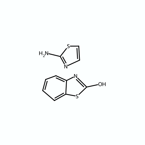 Nc1nccs1.Oc1nc2ccccc2s1